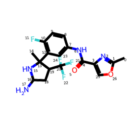 Cc1nc(C(=O)Nc2ccc(F)c(C3(C)NC(N)CC3C(F)(F)F)c2)co1